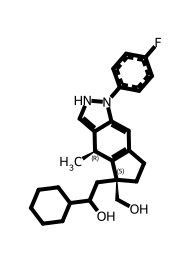 C[C@H]1C2=CNN(c3ccc(F)cc3)C2=CC2=C1[C@@](CO)(CC(O)C1CCCCC1)CC2